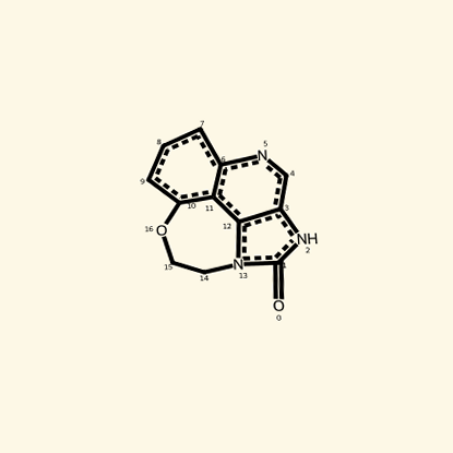 O=c1[nH]c2cnc3cccc4c3c2n1CCO4